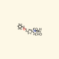 CC(C)(C)N(C(=O)O)C(CC=O)[C@H]1CC[C@H](CCOCc2ccccc2)CC1